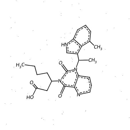 CCCCC(CC(=O)O)n1c(=O)c2ncccc2n(C(C)c2c[nH]c3cccc(C)c23)c1=O